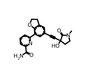 CN1CCC(O)(C#Cc2cc3c(c(-c4cccc(C(N)=O)n4)c2)OCC3)C1=O